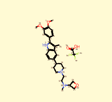 COc1ccc(-c2[nH]c3ccc(C4CCN(CCN(C)C5COC5)CC4)cc3c2C)cc1OC.O=C(O)C(F)(F)F